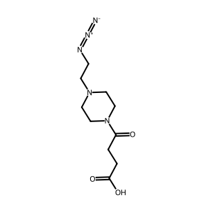 [N-]=[N+]=NCCN1CCN(C(=O)CCC(=O)O)CC1